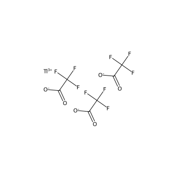 O=C([O-])C(F)(F)F.O=C([O-])C(F)(F)F.O=C([O-])C(F)(F)F.[Tl+3]